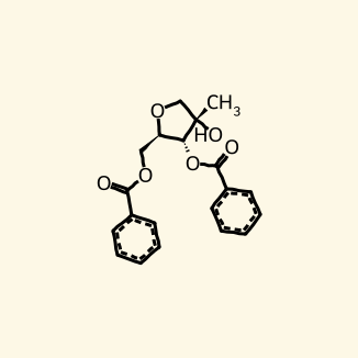 C[C@]1(O)CO[C@H](COC(=O)c2ccccc2)[C@H]1OC(=O)c1ccccc1